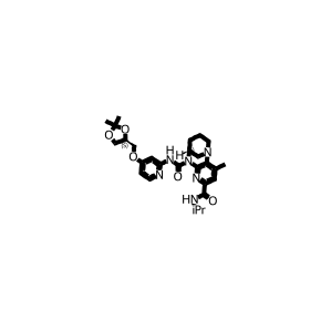 Cc1cc(C(=O)NC(C)C)nc2c1N1CCC[C@@H](C1)N2C(=O)Nc1cc(OC[C@H]2COC(C)(C)O2)ccn1